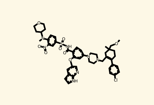 COCC1(C)CCC(c2ccc(Cl)cc2)=C(CN2CCN(c3ccc(C(=O)NS(=O)(=O)c4ccc(N(C)C5CCOCC5)c([N+](=O)[O-])c4)c(Oc4cnc5[nH]ccc5c4)c3)CC2)C1